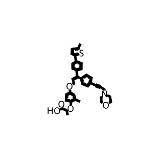 Cc1ccc(-c2ccc(/C(=C/COc3ccc(OC(C)C(=O)O)c(C)c3)c3ccc(C#CCN4CCOCC4)cc3)cc2)s1